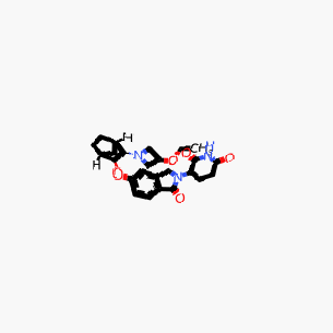 CCOC1CN([C@H]2[C@H]3CC[C@H](C3)[C@@H]2Oc2ccc3c(c2)CN(C2CCC(=O)NC2=O)C3=O)C1